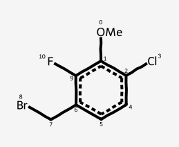 COc1c(Cl)ccc(CBr)c1F